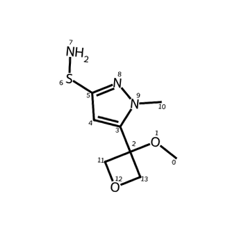 COC1(c2cc(SN)nn2C)COC1